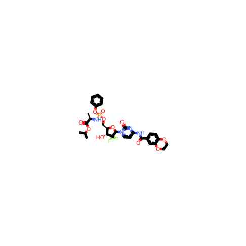 CC(C)OC(=O)[C@@H](C)NP(=O)(OC[C@H]1OC(n2ccc(NC(=O)c3ccc4c(c3)OCCO4)nc2=O)C(F)(F)[C@@H]1O)Oc1ccccc1